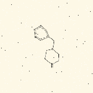 [CH](c1cccnc1)N1CCNCC1